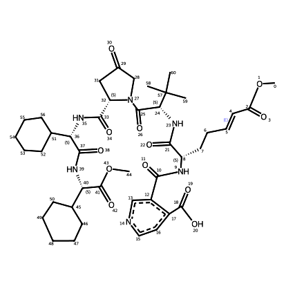 COC(=O)/C=C/CC[C@H](NC(=O)c1cnccc1C(=O)O)C(=O)N[C@H](C(=O)N1CC(=O)C[C@H]1C(=O)N[C@H](C(=O)N[C@H](C(=O)OC)C1CCCCC1)C1CCCCC1)C(C)(C)C